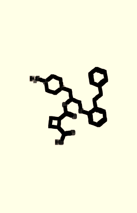 CN1CCN(CC(COc2ccccc2CCc2ccccc2)OC(=O)C2CCC2C(=O)O)CC1